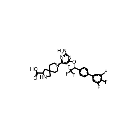 Nc1nc(O[C@H](c2ccc(-c3cc(F)c(F)c(F)c3)cc2)C(F)(F)F)cc(N2CCC3(CC2)CNC(C(=O)O)C3)n1